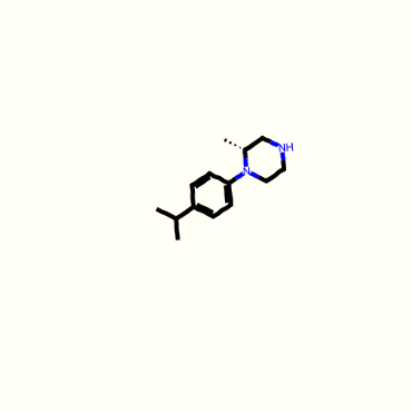 CC(C)c1ccc(N2CCNC[C@H]2C)cc1